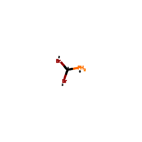 PC(Br)Br